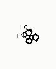 Cl.OC1CCC(c2ccccc2)(c2ccccc2)C2CNCC12